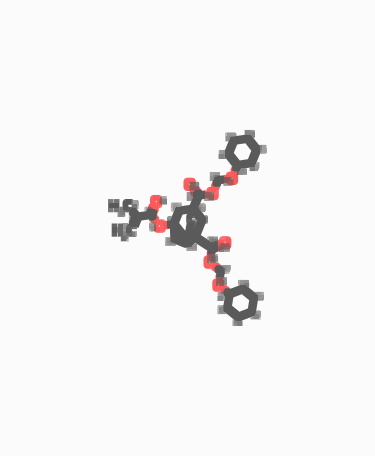 C=C(C)C(=O)OC12CC3CC(C(=O)OCOC4CCCCC4)(CC(C(=O)OCOC4CCCCC4)C3C1)C2